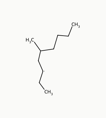 CC[CH]CC(C)CCCC